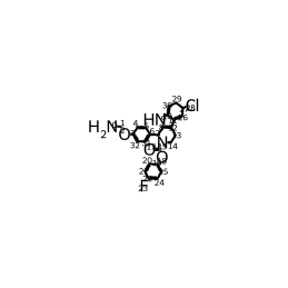 NCOc1ccc(C2c3[nH]c4c(c3CCN2C(=O)Oc2ccc(F)cc2)=CC(Cl)CC=4)cc1